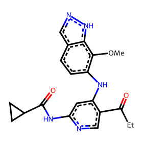 CCC(=O)c1cnc(NC(=O)C2CC2)cc1Nc1ccc2cn[nH]c2c1OC